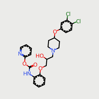 O=C(Nc1ccccc1OCC(O)CN1CCC(Oc2ccc(Cl)c(Cl)c2)CC1)Oc1ccccn1